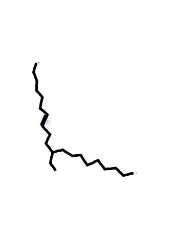 [CH2]CCCCC/C=C/CCC(CC)CCCCCCCC[CH2]